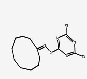 Clc1nc(Cl)nc(ON=C2CCCCCCCCC2)n1